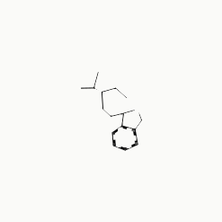 CC(C)[C@H]1CC[C@]2(CC1)OCc1ccccc12